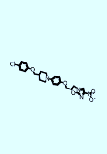 O=[N+]([O-])c1cn2c(n1)O[C@@H](COc1ccc(N3CCC(COc4ccc(Cl)cc4)CC3)cc1)C2